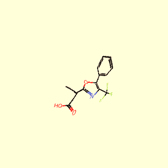 CC(C(=O)O)c1nc(C(F)(F)F)c(-c2ccccc2)o1